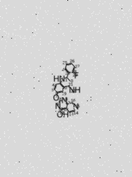 CC(Nc1ccc(Oc2nc(O)c3ccncc3n2)cc1C=N)c1ccccc1F